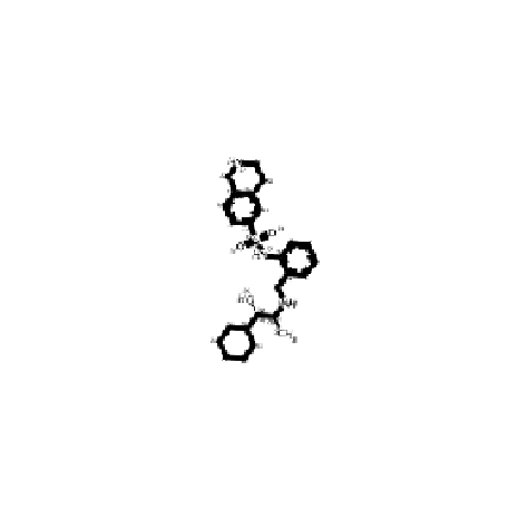 C[C@H](NCc1ccccc1NS(=O)(=O)c1ccc2c(c1)CCNC2)[C@@H](O)C1CCCCC1